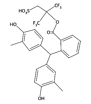 Cc1cc(C(c2ccc(O)c(C)c2)c2ccccc2C(=O)OC(CS(=O)(=O)O)(C(F)(F)F)C(F)(F)F)ccc1O